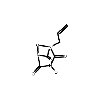 C=CC[N+]12ON(C(=O)N([O])C1=O)C2=O